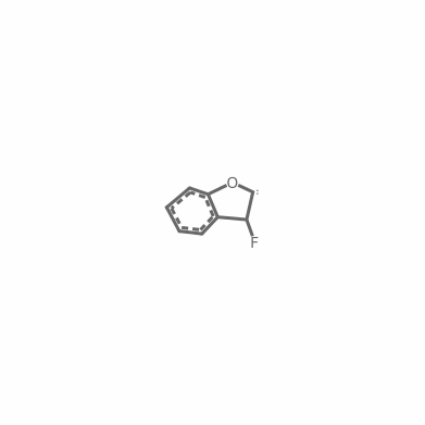 FC1[C]Oc2ccccc21